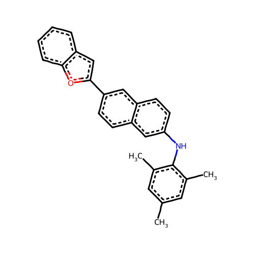 Cc1cc(C)c(Nc2ccc3cc(-c4cc5ccccc5o4)ccc3c2)c(C)c1